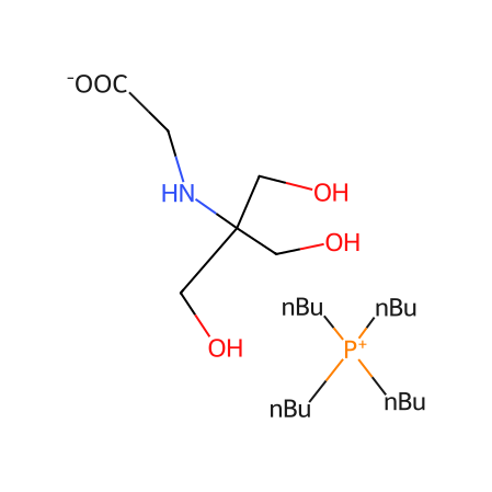 CCCC[P+](CCCC)(CCCC)CCCC.O=C([O-])CNC(CO)(CO)CO